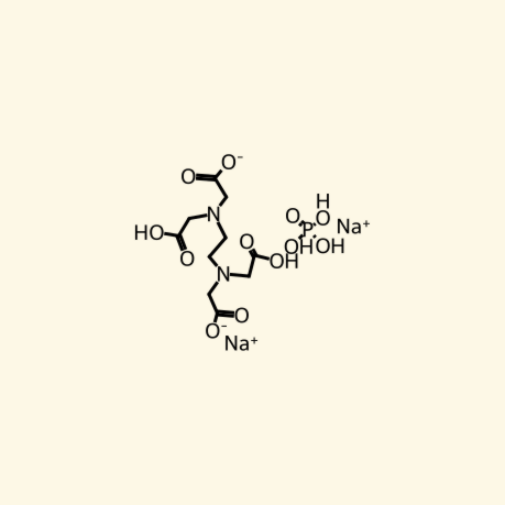 O=C([O-])CN(CCN(CC(=O)[O-])CC(=O)O)CC(=O)O.O=P(O)(O)O.[Na+].[Na+]